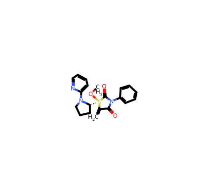 C=C1C(=O)N(c2ccccc2)C(=O)S1(OC)[C@@H]1CCCN1c1ccccn1